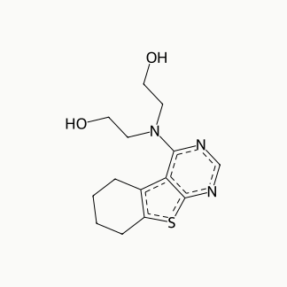 OCCN(CCO)c1ncnc2sc3c(c12)CCCC3